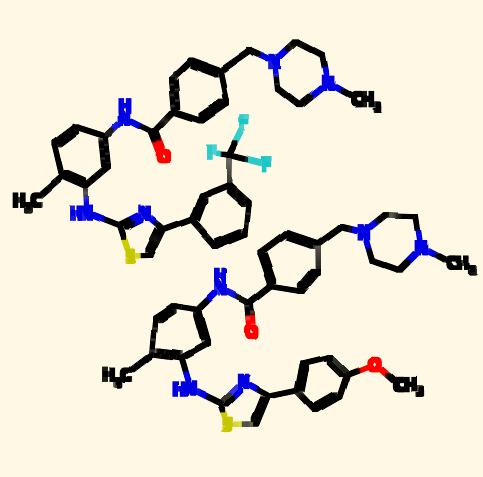 COc1ccc(-c2csc(Nc3cc(NC(=O)c4ccc(CN5CCN(C)CC5)cc4)ccc3C)n2)cc1.Cc1ccc(NC(=O)c2ccc(CN3CCN(C)CC3)cc2)cc1Nc1nc(-c2cccc(C(F)(F)F)c2)cs1